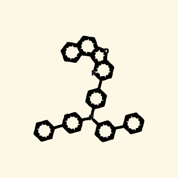 c1ccc(-c2ccc(N(c3ccc(-c4ccc5oc6ccc7ccccc7c6c5n4)cc3)c3cccc(-c4ccccc4)c3)cc2)cc1